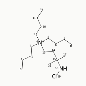 CCCC[N+](CCCC)(CCCC)CCC(C)(C)NCl